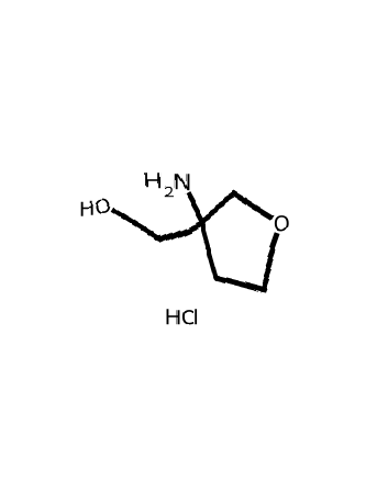 Cl.NC1(CO)CCOC1